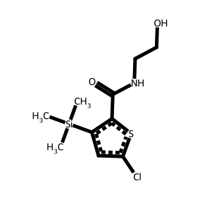 C[Si](C)(C)c1cc(Cl)sc1C(=O)NCCO